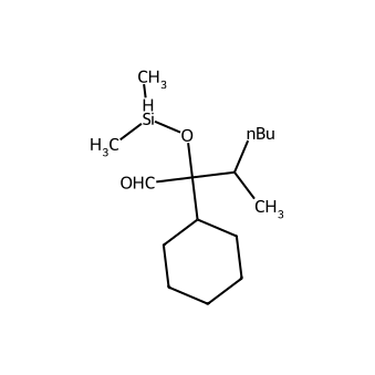 CCCCC(C)C(C=O)(O[SiH](C)C)C1CCCCC1